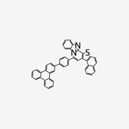 c1ccc2c(c1)ccc1sc3c(cc(-c4ccc(-c5ccc6c7ccccc7c7ccccc7c6c5)cc4)n4c5ccccc5nc34)c12